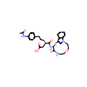 CC(=O)Nc1ccc(CCC[C@H](CC(=O)O)C(=O)N[C@H]2Cc3cn(c4ccccc34)CCOCCNC2=O)cc1